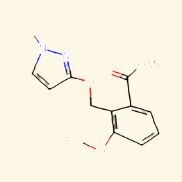 COC(=O)c1cccc(OC(F)(F)F)c1COc1ccn(O)n1